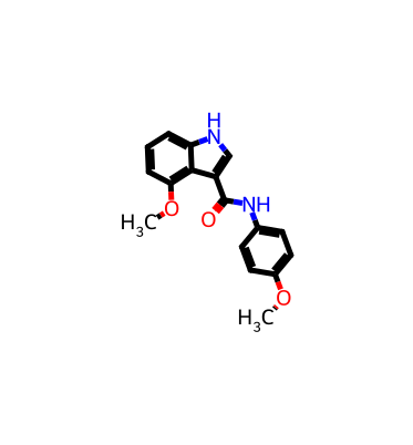 COc1ccc(NC(=O)c2c[nH]c3cccc(OC)c23)cc1